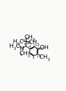 Cc1ccc(C(N(C)C)C(C)(C)C)cc1O